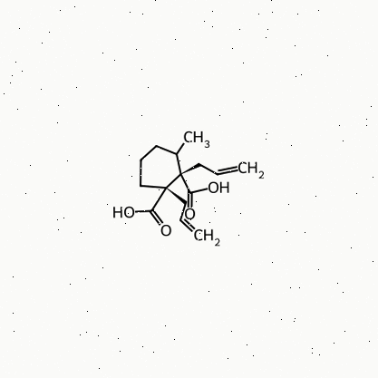 C=CC[C@@]1(C(=O)O)CCCC(C)[C@]1(CC=C)C(=O)O